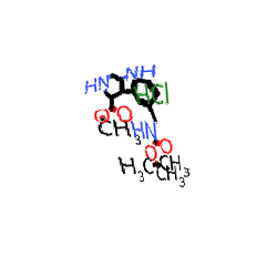 COC(=O)C1CNCc2[nH]c3ccc(CNC(=O)OC(C)(C)C)cc3c21.Cl